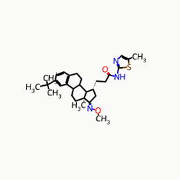 CO/N=C1\C[C@@H](CCC(=O)Nc2ncc(C)s2)C2C3CCc4c[c]c(C(C)(C)C)cc4C3CC[C@]12C